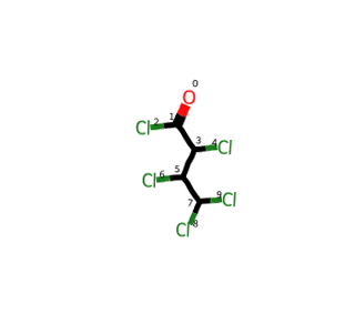 O=C(Cl)C(Cl)C(Cl)C(Cl)Cl